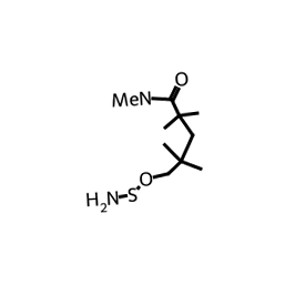 CNC(=O)C(C)(C)CC(C)(C)COSN